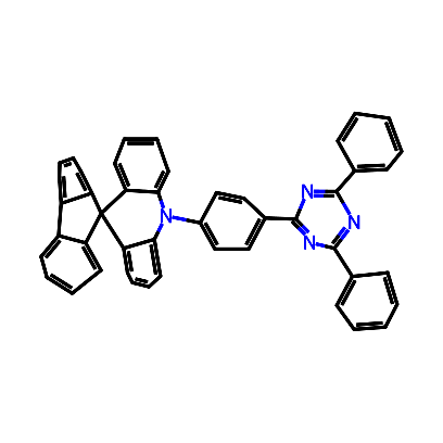 c1ccc(-c2nc(-c3ccccc3)nc(-c3ccc(N4c5ccccc5C5(c6ccccc6-c6ccccc65)c5ccccc54)cc3)n2)cc1